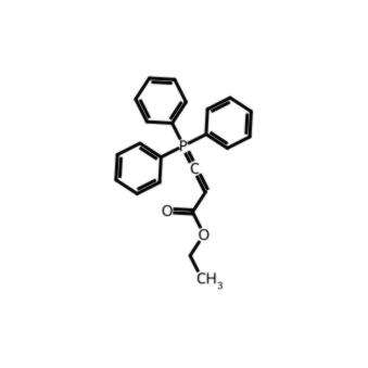 CCOC(=O)C=C=P(c1ccccc1)(c1ccccc1)c1ccccc1